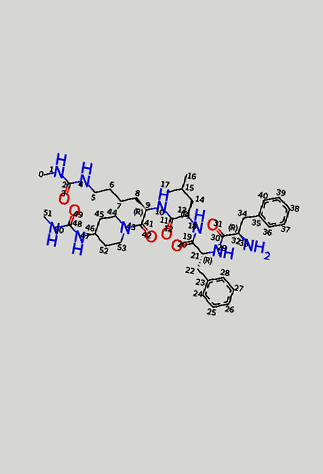 CNC(=O)NCCCC[C@@H](NC(=O)[C@@H](CC(C)C)NC(=O)[C@@H](Cc1ccccc1)NC(=O)[C@H](N)Cc1ccccc1)C(=O)N1CCC(NC(=O)NC)CC1